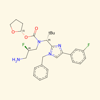 CC(C)(C)[C@H](c1nc(-c2cccc(F)c2)cn1Cc1ccccc1)N(C[C@H](F)CN)C(=O)O[C@H]1CCCO1